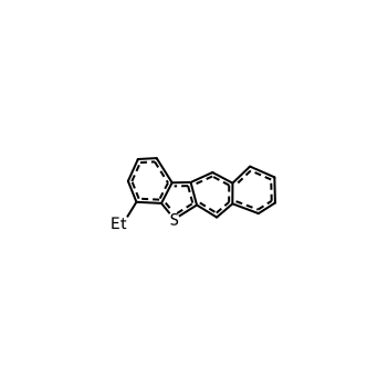 CCc1cccc2c1sc1cc3ccccc3cc12